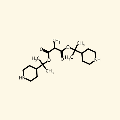 CC(C(=O)OC(C)(C)C1CCNCC1)C(=O)OC(C)(C)C1CCNCC1